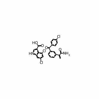 C=C(C(N)=O)c1cccc(C(=O)c2ccc(Cl)cc2)c1.O=C(O)c1c[nH]c2cc(Cl)cc(Cl)c12